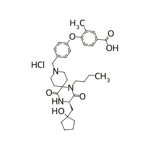 CCCCN1C(=O)[C@@H](CC2(O)CCCC2)NC(=O)C12CCN(Cc1ccc(Oc3ccc(C(=O)O)cc3C)cc1)CC2.Cl